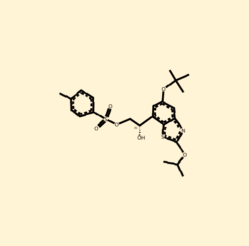 Cc1ccc(S(=O)(=O)OC[C@@H](O)c2cc(OC(C)(C)C)cc3nc(OC(C)C)sc23)cc1